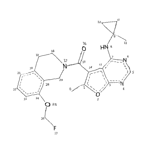 Cc1oc2ncnc(NC3(C)CC3)c2c1C(=O)N1CCc2cccc(OCF)c2C1